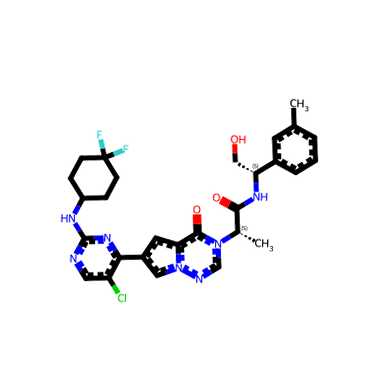 Cc1cccc([C@@H](CO)NC(=O)[C@H](C)n2cnn3cc(-c4nc(NC5CCC(F)(F)CC5)ncc4Cl)cc3c2=O)c1